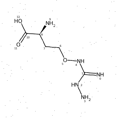 N=C(NN)NOCC[C@H](N)C(=O)O